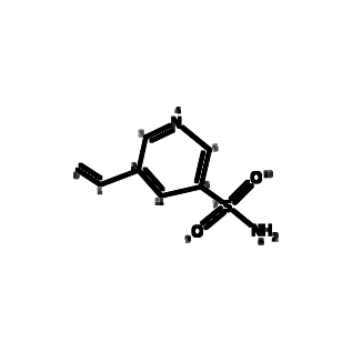 C=Cc1cncc(S(N)(=O)=O)c1